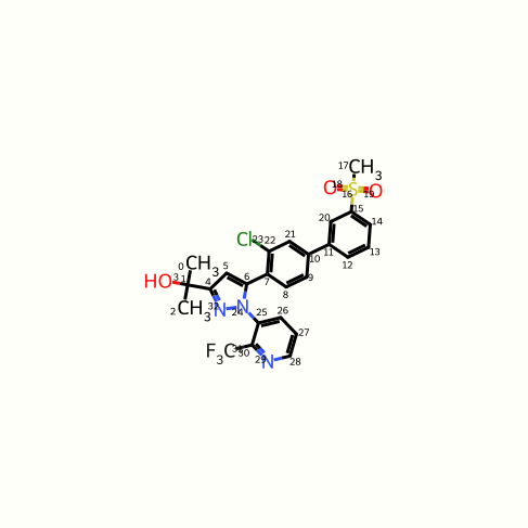 CC(C)(O)c1cc(-c2ccc(-c3cccc(S(C)(=O)=O)c3)cc2Cl)n(-c2cccnc2C(F)(F)F)n1